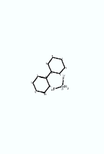 C1CCC(C2CCCCC2)CC1.F[SiH2]F